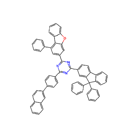 c1ccc(-c2cc(-c3nc(-c4ccc(-c5ccc6ccccc6c5)cc4)nc(-c4ccc5c(c4)C(c4ccccc4)(c4ccccc4)c4ccccc4-5)n3)cc3oc4ccccc4c23)cc1